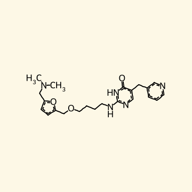 CN(C)Cc1ccc(COCCCCNc2ncc(Cc3cccnc3)c(=O)[nH]2)o1